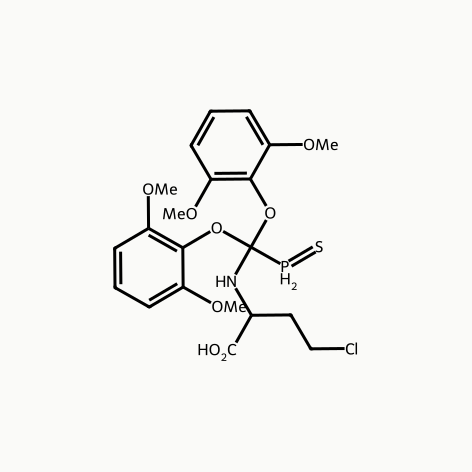 COc1cccc(OC)c1OC(NC(CCCl)C(=O)O)(Oc1c(OC)cccc1OC)[PH2]=S